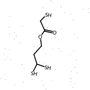 O=C(CS)OCCC(S)S